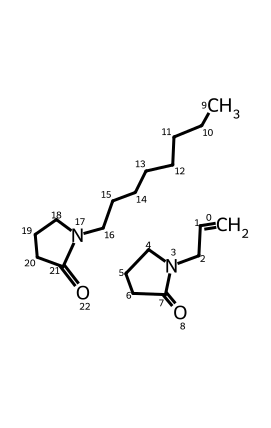 C=CCN1CCCC1=O.CCCCCCCCN1CCCC1=O